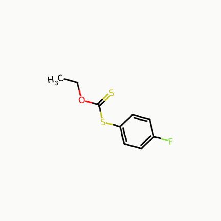 CCOC(=S)Sc1ccc(F)cc1